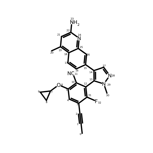 CC#Cc1cc(OC2CC2)c(C#N)c(-c2c(-c3ccc4c(C)cc(N)nc4c3)cnn2C)c1F